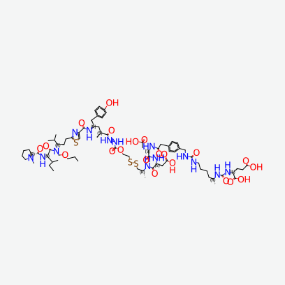 CCCOCN(C(=O)[C@@H](NC(=O)[C@H]1CCCCN1C)C(C)CC)[C@H](CCc1nc(C(=O)N[C@@H](Cc2ccc(O)cc2)C[C@H](C)C(=O)NNC(=O)OCCSSC[C@@H](C)NC(=O)[C@H](CC(=O)O)NC(=O)[C@H](CC(=O)O)NC(=O)Cc2ccc(CNC(=O)NCCCC[C@@H](C)NC(=O)N[C@@H](CCC(=O)O)C(=O)O)cc2)cs1)C(C)C